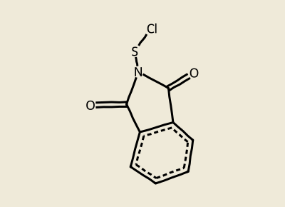 O=C1c2ccccc2C(=O)N1SCl